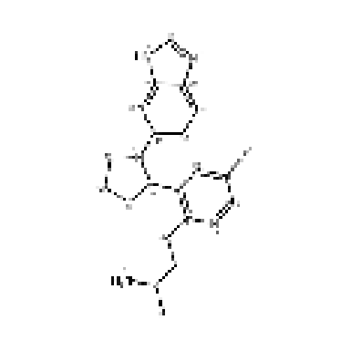 CC(N)CCc1ncc(F)cc1C1CCCN1c1ccc2nc[nH]c2n1